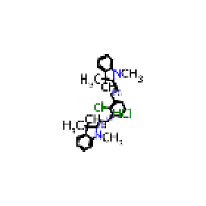 CN1/C(=C\C=C2\CCCC(/C=C/C3N(C)c4ccccc4C3(C)C)=C2Cl)C(C)(C)c2ccccc21.Cl